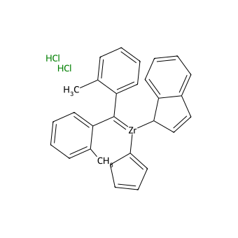 Cc1ccccc1[C](c1ccccc1C)=[Zr]([C]1=CC=CC1)[CH]1C=Cc2ccccc21.Cl.Cl